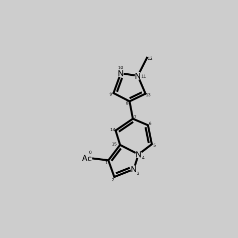 CC(=O)c1cnn2ccc(-c3cnn(C)c3)cc12